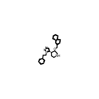 c1ccc(CCn2nncc2[C@@H]2CCNC[C@H]2OCc2ccc3ccccc3c2)cc1